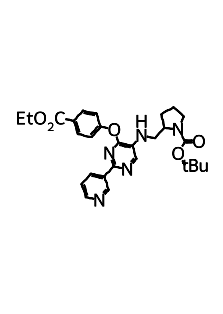 CCOC(=O)c1ccc(Oc2nc(-c3cccnc3)ncc2NCC2CCCN2C(=O)OC(C)(C)C)cc1